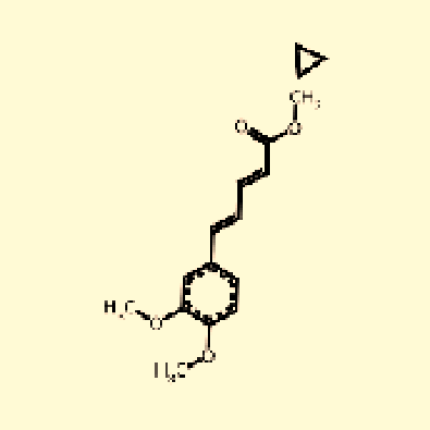 C1CC1.COC(=O)C=CC=Cc1ccc(OC)c(OC)c1